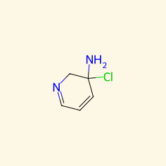 NC1(Cl)C=CC=NC1